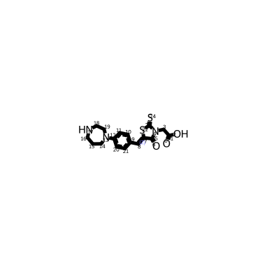 O=C(O)CN1C(=O)/C(=C/c2ccc(N3CCCNCC3)cc2)SC1=S